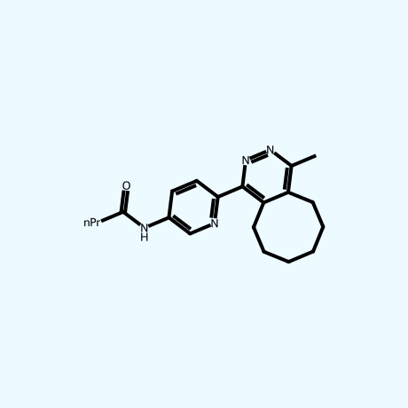 CCCC(=O)Nc1ccc(-c2nnc(C)c3c2CCCCCC3)nc1